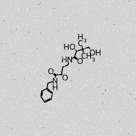 CC(C)(CO)[C@@H](O)C(=O)NCCC(=O)C(=O)NCc1ccccc1